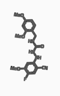 COc1ccc(CNC(=O)NNc2cc(OC)c(F)cc2C#N)c(OC)c1